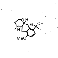 CCC(C)(O)c1ccc(OC)c2c1C[C@H]1OCCN(C)[C@@H]1C2